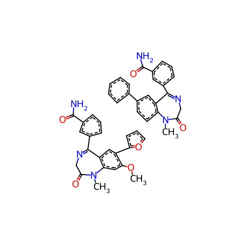 CN1C(=O)CN=C(c2cccc(C(N)=O)c2)c2cc(-c3ccccc3)ccc21.COc1cc2c(cc1-c1ccco1)C(c1cccc(C(N)=O)c1)=NCC(=O)N2C